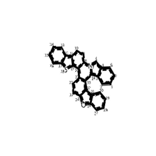 c1ccc2c(c1)cn1c3ccc4c5ccccc5sc4c3c3ccc4oc5ccccc5c4c3c21